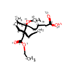 CCOC(=O)C(CC)(CC)C(CC)(CCCC(=O)O)OC